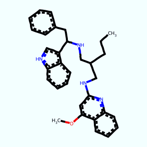 CCCC(CNc1cc(OC)c2ccccc2n1)CNC(Cc1ccccc1)c1c[nH]c2ccccc12